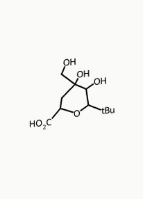 CC(C)(C)C1OC(C(=O)O)CC(O)(CO)C1O